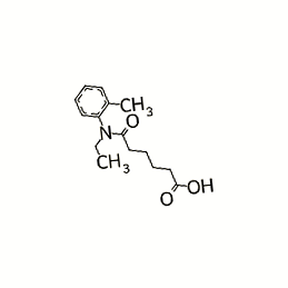 CCN(C(=O)CCCCC(=O)O)c1ccccc1C